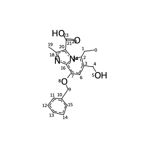 CCc1c(CO)cc(OCc2ccccc2)c2nc(C)c(C(=O)O)n12